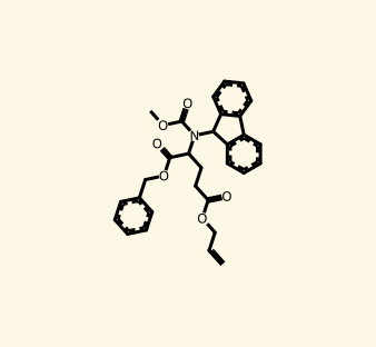 C=CCOC(=O)CCC(C(=O)OCc1ccccc1)N(C(=O)OC)C1c2ccccc2-c2ccccc21